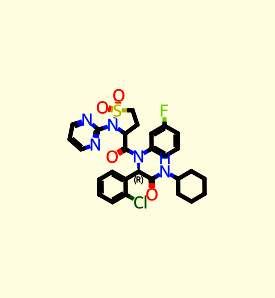 O=C(NC1CCCCC1)[C@@H](c1ccccc1Cl)N(C(=O)C1CCS(=O)(=O)N1c1ncccn1)c1cccc(F)c1